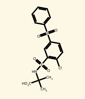 CC(C)(NS(=O)(=O)c1cc(S(=O)(=O)c2ccccc2)ccc1Cl)C(=O)O